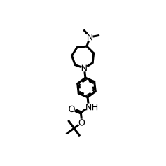 CN(C)C1CCCN(c2ccc(NC(=O)OC(C)(C)C)cc2)CC1